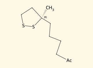 CC(=O)CCCC[C@]1(C)CCSS1